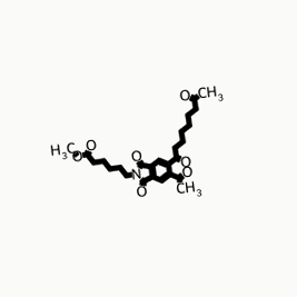 COC(=O)CCCCCN1C(=O)c2cc(C(C)=O)c(C(=O)CCCCCCC(C)=O)cc2C1=O